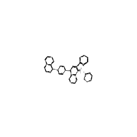 c1ccc(-n2c3ccccc3c3cc(-c4ccc(-c5cccc6ccccc56)cc4)c4ccccc4c32)cc1